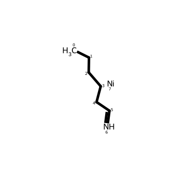 CCCCCC=N.[Ni]